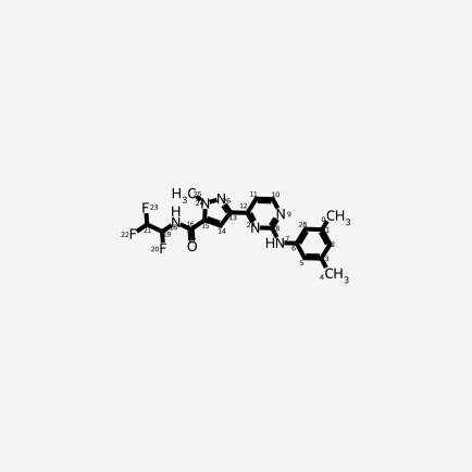 Cc1cc(C)cc(Nc2nccc(-c3cc(C(=O)NC(F)C(F)F)n(C)n3)n2)c1